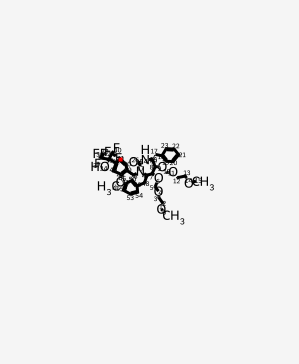 COCCOCOC1C(OCOCCOC)[C@@H](Cc2ccccc2)NC(=O)N(Cc2ccc(C(O)(C(F)(F)F)C(F)(F)F)cc2OC)C1Cc1ccccc1